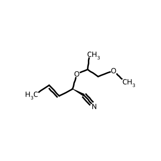 C/C=C/[C@H](C#N)OC(C)COC